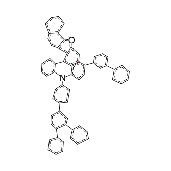 c1ccc(-c2cccc(-c3ccc(N(c4ccc(-c5ccc(-c6ccccc6)c(-c6ccccc6)c5)cc4)c4ccccc4-c4cccc5oc6c7ccccc7ccc6c45)cc3)c2)cc1